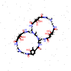 Cc1c2ccc(c1O)C(=O)NCCN(C)CCNC(=O)c1ccc(c(O)c1O)C(=O)NCCN1CCNC(=O)c3ccc(c(O)c3O)C(=O)NCCN(C)CCNC(=O)c3ccc(c(O)c3O)C(=O)NCCN(CC1C)C(C)C(C)NC2=O